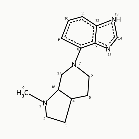 CN1CCC2CCN(c3cccc4[nH]cnc34)CC21